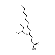 CCC(N)O.CCCCCCCCCCCC(=O)O